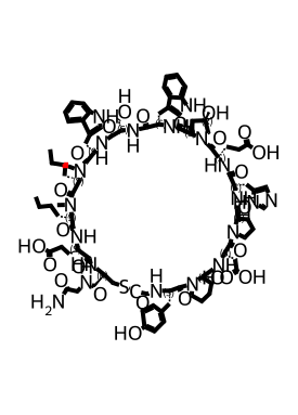 CCCC[C@H]1C(=O)N(C)[C@@H](CCCC)C(=O)N[C@@H](CCC(=O)O)C(=O)N[C@H](C(=O)NCC(N)=O)CSCC(=O)N[C@@H](Cc2ccc(O)cc2)C(=O)N2CCCC[C@H]2C(=O)N[C@@H](CC(=O)O)C(=O)N2CCC[C@H]2C(=O)N[C@@H](Cc2cnc[nH]2)C(=O)N[C@@H](CCC(=O)O)C(=O)N2C[C@H](O)C[C@H]2C(=O)N[C@@H](Cc2c[nH]c3ccccc23)C(=O)N[C@@H](CO)C(=O)N[C@@H](Cc2c[nH]c3ccccc23)C(=O)N1C